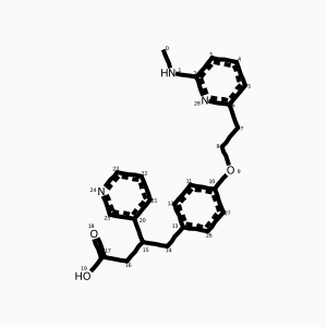 CNc1cccc(CCOc2ccc(CC(CC(=O)O)c3cccnc3)cc2)n1